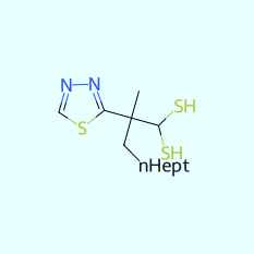 CCCCCCCCC(C)(c1nncs1)C(S)S